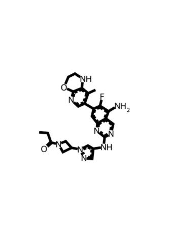 CCC(=O)N1CC(n2cc(Nc3ncc4c(N)c(F)c(-c5cnc6c(c5C)NCCO6)cc4n3)cn2)C1